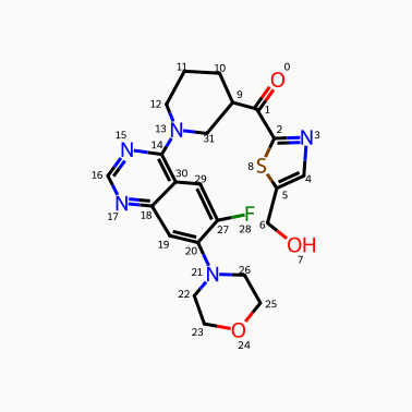 O=C(c1ncc(CO)s1)C1CCCN(c2ncnc3cc(N4CCOCC4)c(F)cc23)C1